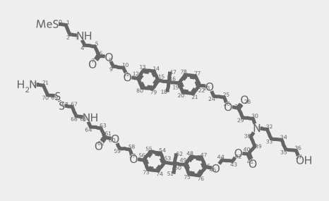 CSCCNCCC(=O)OCCOc1ccc(C(C)(C)c2ccc(OCCOC(=O)CCN(CCCCCO)CCC(=O)OCCOc3ccc(C(C)(C)c4ccc(OCCOC(=O)CCNCCSSCCN)cc4)cc3)cc2)cc1